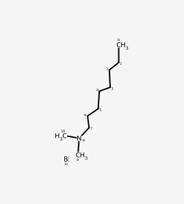 CCCCCCCCN(C)C.[B]